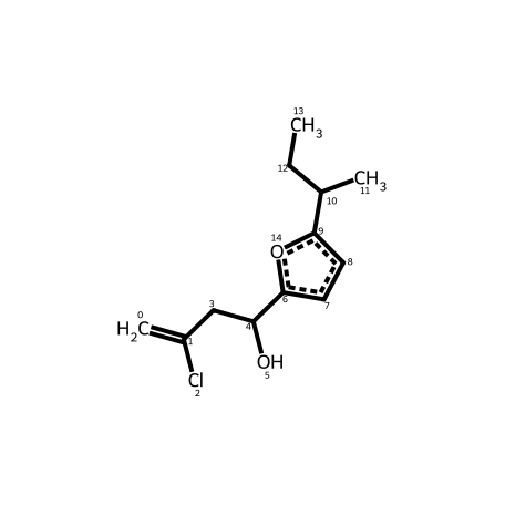 C=C(Cl)CC(O)c1ccc(C(C)CC)o1